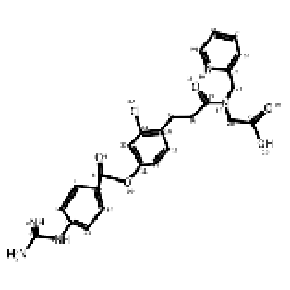 N=C(N)Nc1ccc(C(=O)Oc2ccc(CCC(=O)N(CC(=O)O)Cc3ccccn3)c(Cl)c2)cc1